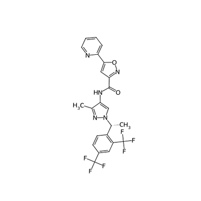 Cc1nn([C@H](C)c2ccc(C(F)(F)F)cc2C(F)(F)F)cc1NC(=O)c1cc(-c2ccccn2)on1